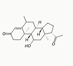 CC(=O)[C@H]1CC[C@H]2[C@@H]3CC(C)C4=CC(=O)CC[C@]4(C)[C@H]3C(O)C[C@]12C